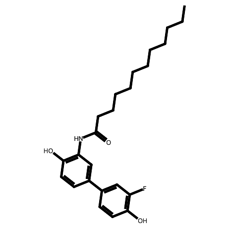 CCCCCCCCCCCC(=O)Nc1cc(-c2ccc(O)c(F)c2)ccc1O